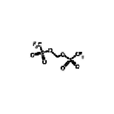 O=S(=O)(OCOS(=O)(=O)C(F)(F)F)C(F)(F)F